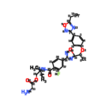 CCC(Oc1ccc(-c2noc(CC(C)C)n2)cc1)c1nc(-c2ccc(C(=O)NC(C)(C)COC(=O)CN)c(F)c2)no1